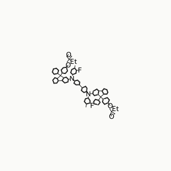 CCC1(COc2ccc(C3(c4ccccc4)c4ccccc4-c4ccc(N(c5ccc(-c6ccc(N(c7ccc(C)c(F)c7)c7ccc8c(c7)C(c7ccccc7)(c7ccc(OCC9(CC)COC9)cc7)c7ccccc7-8)cc6)cc5)c5ccc(C)c(F)c5)cc43)cc2)COC1